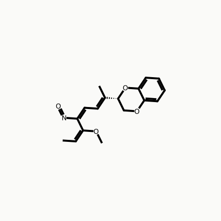 C\C=C(OC)/C(=C\C=C(/C)[C@H]1COc2ccccc2O1)N=O